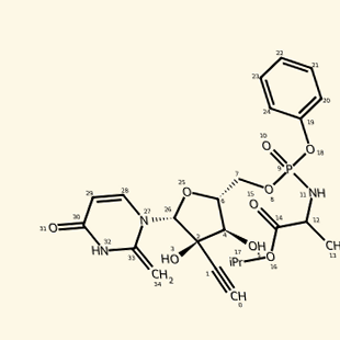 C#C[C@@]1(O)[C@H](O)[C@@H](COP(=O)(NC(C)C(=O)OC(C)C)Oc2ccccc2)O[C@H]1N1C=CC(=O)NC1=C